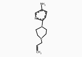 C=CCN1CCN(c2ccc(N)cn2)CC1